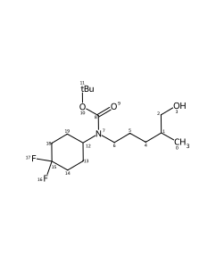 CC(CO)CCCN(C(=O)OC(C)(C)C)C1CCC(F)(F)CC1